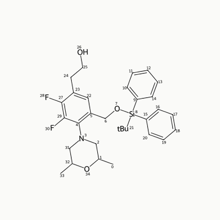 CC1CN(c2c(CO[Si](c3ccccc3)(c3ccccc3)C(C)(C)C)cc(CCO)c(F)c2F)CC(C)O1